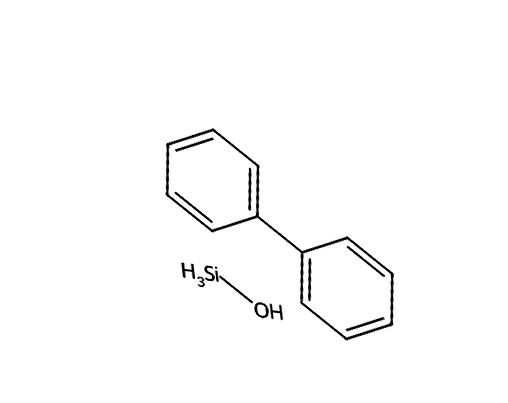 O[SiH3].c1ccc(-c2ccccc2)cc1